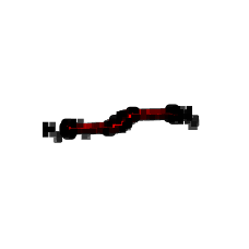 C=C(C)C(=O)OCCCCCCCCCCCCCCCCCCCCOc1ccc(C(=O)Oc2cc(F)c(OC(=O)c3ccc(OCCCCCCCCCCCCCCCCCCCCOC(=O)C(=C)C)cc3)c(F)c2)cc1